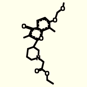 CCOC(=O)CN1CCCC(c2oc3c(C)c(OCOC)ccc3c(=O)c2C)C1